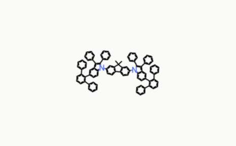 CC1(C)c2cc(-n3c(-c4ccccc4)c(-c4ccccc4)c4cc(-c5c(-c6ccccc6)cccc5-c5ccccc5)ccc43)ccc2-c2ccc(-n3c(-c4ccccc4)c(-c4ccccc4)c4cc(-c5c(-c6ccccc6)cccc5-c5ccccc5)ccc43)cc21